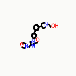 OCCN1CCC(c2cccc(-c3ccc4c(c3)OCc3nc(CN5CCOCC5)cn3-4)c2)CC1